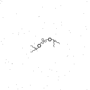 CCCCN(CCCC)Cc1ccc(COC(=O)OCc2ccc(CN(CCCC)CCCC)cc2)cc1